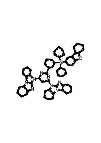 c1ccc([Si](c2ccccc2)(c2cccc(-c3nc(-n4c5ccccc5n5c6ccccc6nc45)cc(-n4c5ccccc5n5c6ccccc6nc45)n3)c2)c2ccc3oc4ccccc4c3c2)cc1